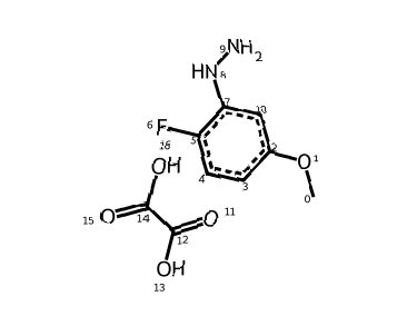 COc1ccc(F)c(NN)c1.O=C(O)C(=O)O